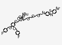 CN(CCOCCOCCOCCN(CC(O)COc1ccc(OCc2ccc(F)cc2)c(OCc2ccc(F)cc2)c1)C(=O)OC(C)(C)C)c1ccc2nc3ccc(=[N+](C)C)cc-3sc2c1